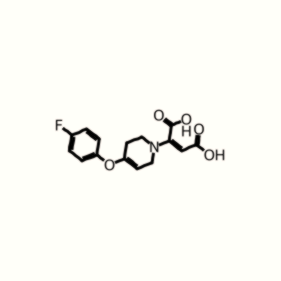 O=C(O)/C=C(\C(=O)O)N1CC=C(Oc2ccc(F)cc2)CC1